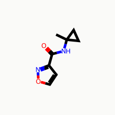 CC1(NC(=O)c2ccon2)CC1